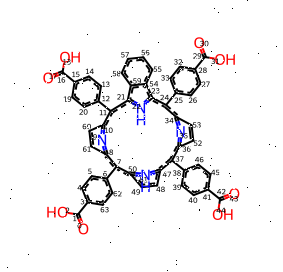 O=C(O)c1ccc(-c2c3nc(c(-c4ccc(C(=O)O)cc4)c4[nH]c(c(-c5ccc(C(=O)O)cc5)c5nc(c(-c6ccc(C(=O)O)cc6)c6ccc2[nH]6)C=C5)c2ccccc42)C=C3)cc1